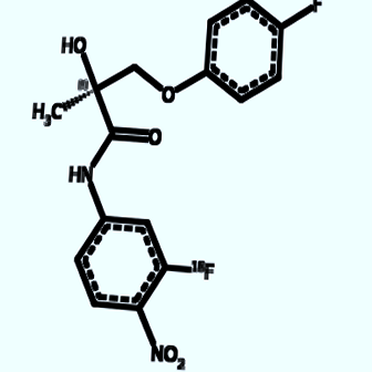 C[C@](O)(COc1ccc(F)cc1)C(=O)Nc1ccc([N+](=O)[O-])c([18F])c1